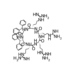 N=C(N)NCCC[C@@H]1NC(=O)[C@H](CCCNC(=N)N)NC(=O)[C@H](CCCNC(=N)N)NC(=O)[C@H](C(c2ccccc2)c2ccccc2)NC(=O)[C@H](C(c2ccccc2)c2ccccc2)NC(=O)[C@H](CCCNC(=N)N)NC1=O